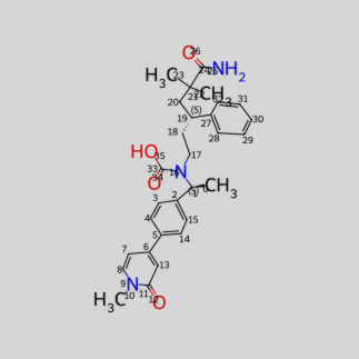 C[C@@H](c1ccc(-c2ccn(C)c(=O)c2)cc1)N(CC[C@H](CC(C)(C)C(N)=O)c1ccccc1)C(=O)O